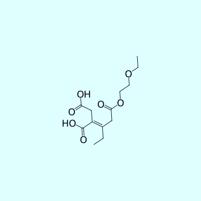 CCOCCOC(=O)CC(CC)=C(CC(=O)O)C(=O)O